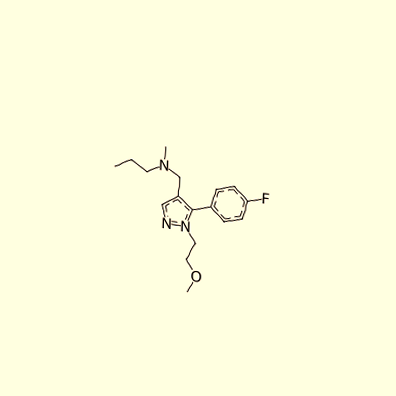 CCCN(C)Cc1cnn(CCOC)c1-c1ccc(F)cc1